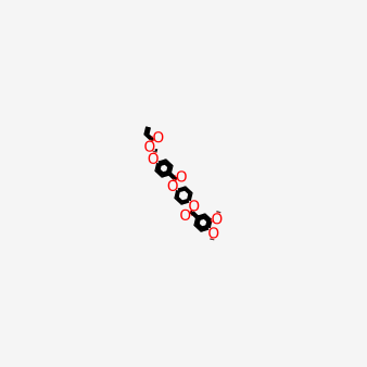 C=CC(=O)OCOc1ccc(C(=O)OC2CCC(OC(=O)c3ccc(OC)c(OC)c3)CC2)cc1